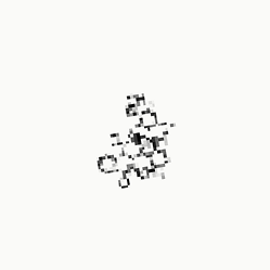 COc1ccc(Br)cc1CNC(=O)C1c2ccccc2C(=O)N(C)C1c1c[nH]c2ccccc12